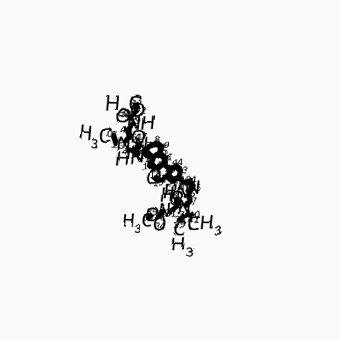 CCCN(Cc1nc2ccc3cc4c(cc3c2[nH]1)OCc1cc(-c2cnc(CN(C(=O)CNC(=O)OC)C(CC)CC)[nH]2)ccc1-4)C(=O)CNC(=O)OC